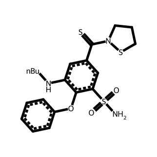 CCCCNc1cc(C(=S)N2CCCS2)cc(S(N)(=O)=O)c1Oc1ccccc1